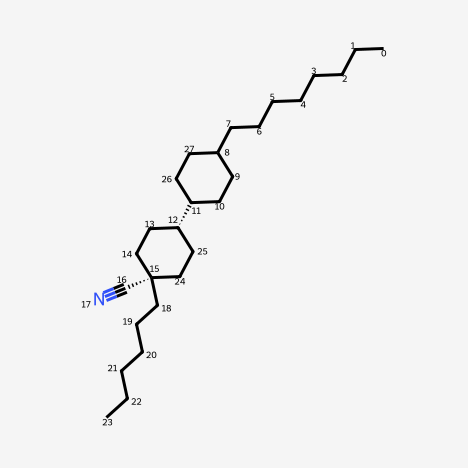 CCCCCCCCC1CCC([C@H]2CC[C@](C#N)(CCCCCC)CC2)CC1